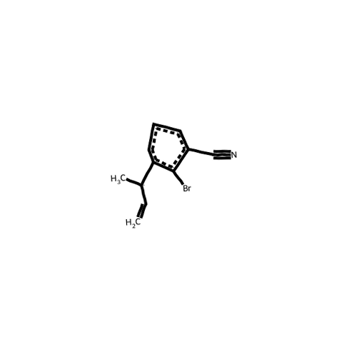 C=C[C](C)c1cccc(C#N)c1Br